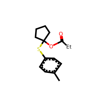 CCC(=O)OC1(Sc2ccc(C)cc2)CCCC1